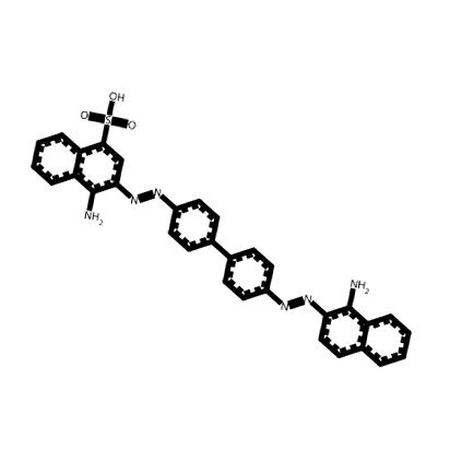 Nc1c(/N=N/c2ccc(-c3ccc(/N=N/c4cc(S(=O)(=O)O)c5ccccc5c4N)cc3)cc2)ccc2ccccc12